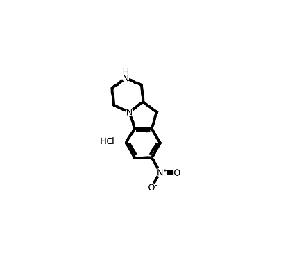 Cl.O=[N+]([O-])c1ccc2c(c1)CC1CNCCN21